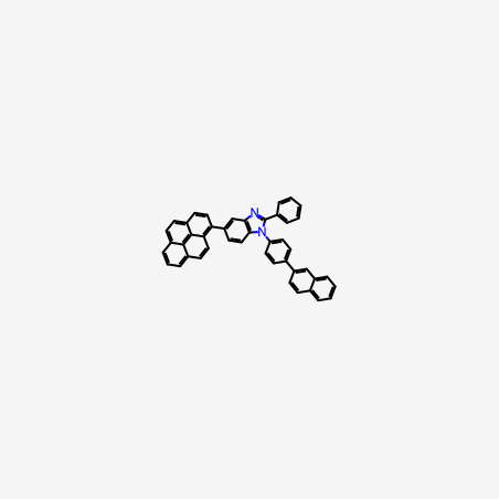 c1ccc(-c2nc3cc(-c4ccc5ccc6cccc7ccc4c5c67)ccc3n2-c2ccc(-c3ccc4ccccc4c3)cc2)cc1